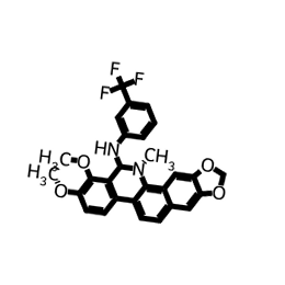 COc1ccc2c(c1OC)C(Nc1cccc(C(F)(F)F)c1)N(C)c1c-2ccc2cc3c(cc12)OCO3